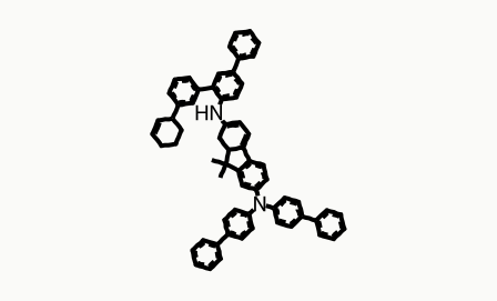 CC1(C)c2cc(N(c3ccc(-c4ccccc4)cc3)c3ccc(-c4ccccc4)cc3)ccc2C2=CC=C(Nc3ccc(-c4ccccc4)cc3-c3cccc(C4C=CCCC4)c3)CC21